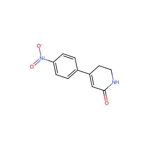 O=C1C=C(c2ccc([N+](=O)[O-])cc2)CCN1